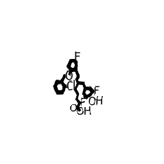 O=C(O)CCCCC(C=Cc1cc(F)ccc1OCc1ccccc1Cl)Cc1cc(F)c(O)c(F)c1